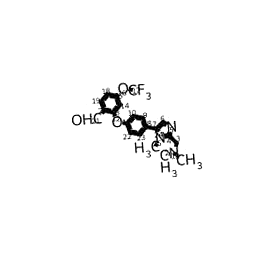 CN(C)Cc1ncc(-c2ccc(Oc3cc(OC(F)(F)F)ccc3C=O)cc2)n1C